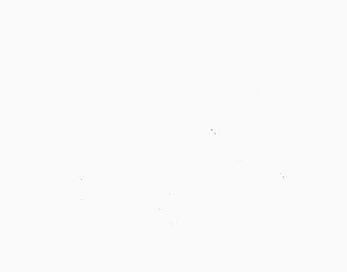 CC1(C)C=C(n2ccc(C(CCCO[Si](C)(C)C(C)(C)C)O[Si](C)(C)C(C)(C)C)cc2=O)c2cc(C#N)ccc2O1